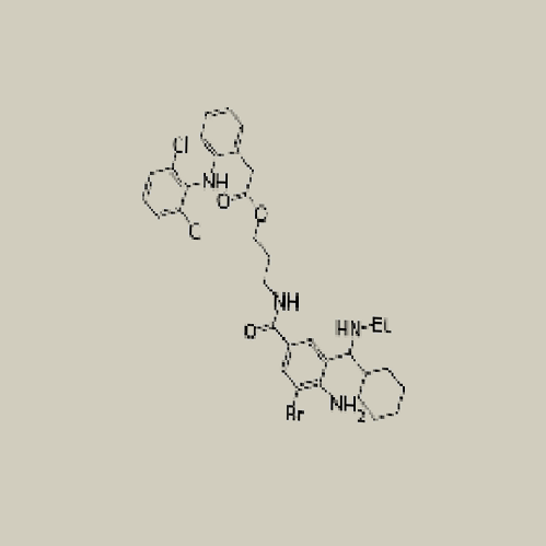 CCNC(c1cc(C(=O)NCCCOC(=O)Cc2ccccc2Nc2c(Cl)cccc2Cl)cc(Br)c1N)C1CCCCC1